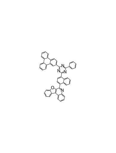 c1ccc(-c2nc(-c3ccc4c5ccccc5c5ccccc5c4c3)nc(-c3ccc(-c4nc5ccccc5c5c4oc4ccccc45)c4ccccc34)n2)cc1